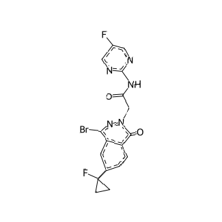 O=C(Cn1nc(Br)c2cc(C3(F)CC3)ccc2c1=O)Nc1ncc(F)cn1